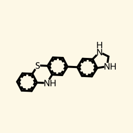 c1ccc2c(c1)Nc1cc(-c3ccc4c(c3)NCN4)ccc1S2